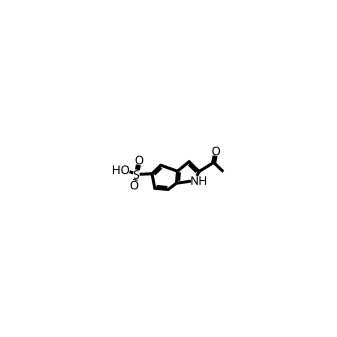 CC(=O)c1cc2cc(S(=O)(=O)O)ccc2[nH]1